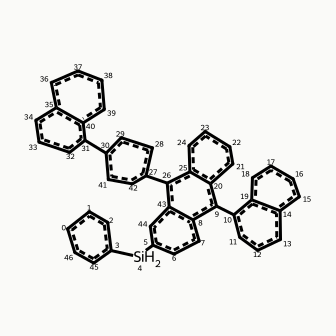 c1ccc([SiH2]c2ccc3c(-c4cccc5ccccc45)c4ccccc4c(-c4ccc(-c5cccc6ccccc56)cc4)c3c2)cc1